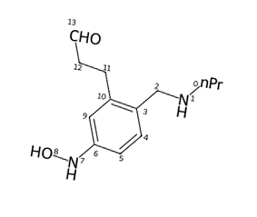 CCCNCc1ccc(NO)cc1CCC=O